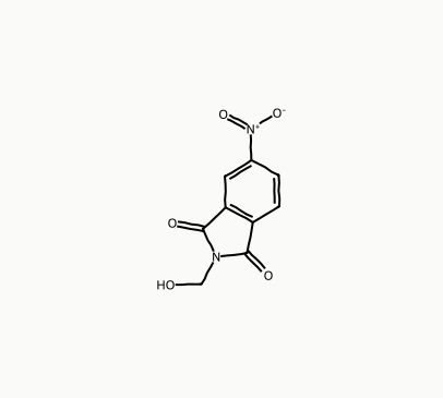 O=C1c2ccc([N+](=O)[O-])cc2C(=O)N1CO